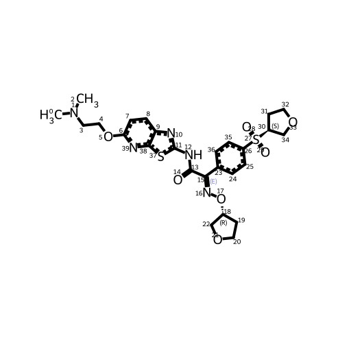 CN(C)CCOc1ccc2nc(NC(=O)/C(=N/O[C@@H]3CCOC3)c3ccc(S(=O)(=O)[C@H]4CCOC4)cc3)sc2n1